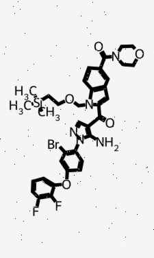 C[Si](C)(C)CCOCn1c(C(=O)c2cnn(-c3ccc(Oc4cccc(F)c4F)cc3Br)c2N)cc2cc(C(=O)N3CCOCC3)ccc21